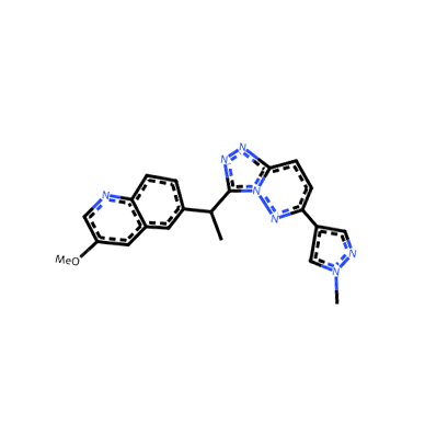 COc1cnc2ccc(C(C)c3nnc4ccc(-c5cnn(C)c5)nn34)cc2c1